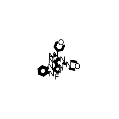 FC(F)C1(c2nc(N3CCOCC3)nc3c2nnn3C2CCOCC2)N=c2ccccc2=N1